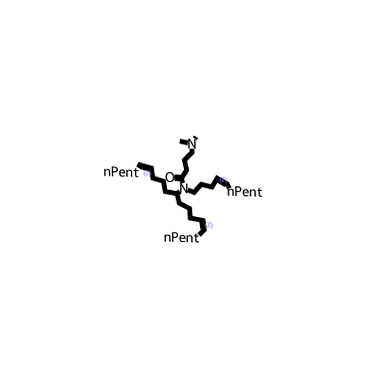 CCCCC/C=C\CCCC(CCC/C=C\CCCCC)N(CCC/C=C\CCCCC)C(=O)CCCN(C)C